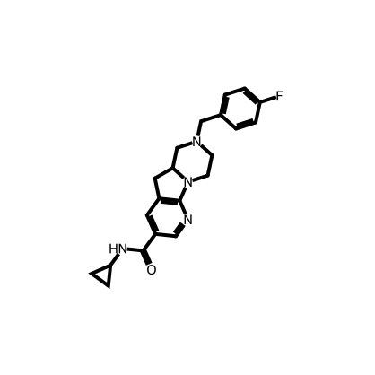 O=C(NC1CC1)c1cnc2c(c1)CC1CN(Cc3ccc(F)cc3)CCN21